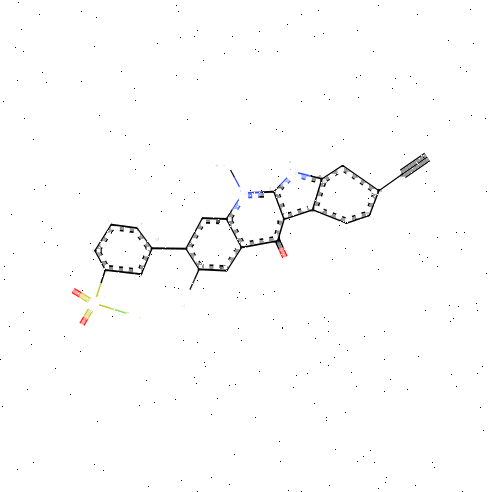 C#Cc1ccc2c(c1)[nH]c1c2c(=O)c2cc(OCC(C)C)c(-c3cccc(S(=O)(=O)F)c3)cc2n1CCCC